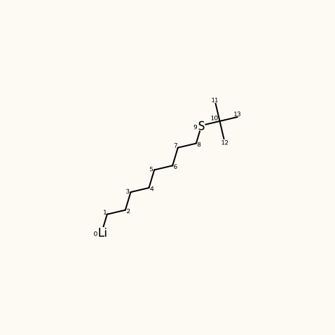 [Li][CH2]CCCCCCCSC(C)(C)C